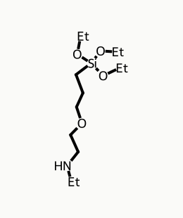 CCNCCOCCC[Si](OCC)(OCC)OCC